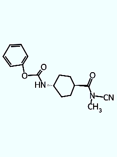 CN(C#N)C(=O)[C@H]1CC[C@H](NC(=O)Oc2ccccc2)CC1